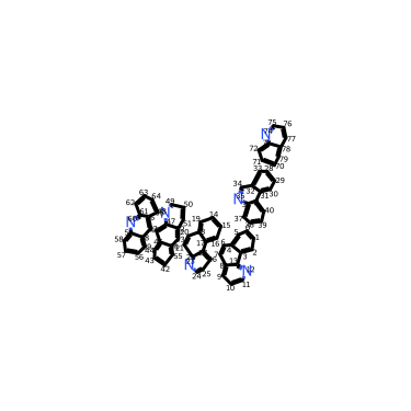 c1ccc2c(c1)ccc1cccnc12.c1ccc2c(c1)ccc1ncccc12.c1ccc2c(c1)cnc1ccccc12.c1ccc2cc3ncccc3cc2c1.c1ccc2nc3ccccc3cc2c1.c1ccc2ncccc2c1